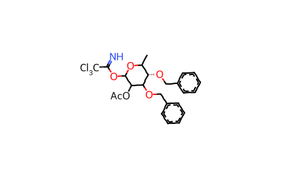 CC(=O)OC1C(OC(=N)C(Cl)(Cl)Cl)OC(C)[C@H](OCc2ccccc2)C1OCc1ccccc1